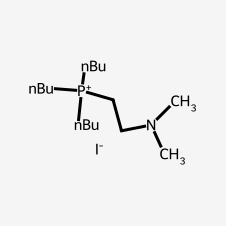 CCCC[P+](CCCC)(CCCC)CCN(C)C.[I-]